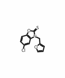 S=c1oc2ccc(Cl)cc2n1Cc1ccco1